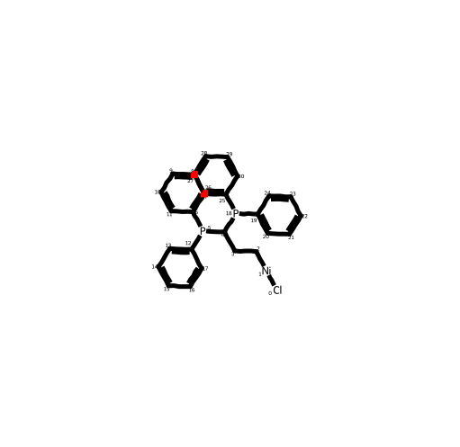 [Cl][Ni][CH2]CC(P(c1ccccc1)c1ccccc1)P(c1ccccc1)c1ccccc1